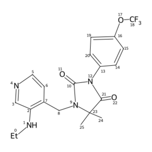 CCNc1cnccc1CN1C(=O)N(c2ccc(OC(F)(F)F)cc2)C(=O)C1(C)C